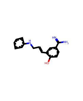 N=C(N)c1ccc(O)c(C=CCNc2ccccc2)c1